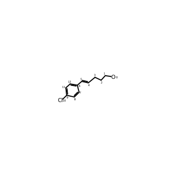 [O]CCC/C=C/c1ccc(Cl)cc1